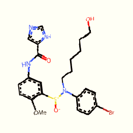 COc1ccc(NC(=O)c2cnc[nH]2)cc1[S+]([O-])N(CCCCCCO)c1ccc(Br)cc1